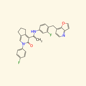 C=C(Nc1ccc(Cc2ccnc3ccoc23)c(F)c1)c1c2c(cn(-c3ccc(F)cc3)c1=O)CCC2